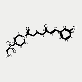 CC(C)CS(=O)(=O)N1CCN(C(=O)CCCC(=O)/C=C/c2cccc(Cl)c2)CC1